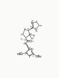 CCCCc1cn(C(C)(C)C)s/c1=N\C(=O)[C@@]1(C)CC[C@@H](C2=NCCO2)C1(C)C